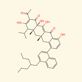 CCCC(CCC)Cc1ccc(-c2ccc(O)c3c2C[C@]2(C)C[C@]4(C)C(C(C)C)C(O)=C(C(C)=O)C(=O)[C@]4(O)C(O)=C2C3=O)c2ccccc12